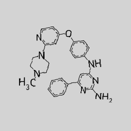 CN1CCN(c2cc(Oc3ccc(Nc4cc(-c5ccccc5)nc(N)n4)cc3)ccn2)CC1